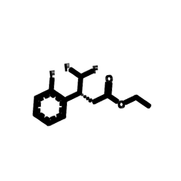 CCOC(=O)C[C@H](c1ccccc1F)C(F)F